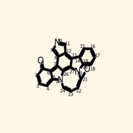 O=c1cccc2c1c1c3cncc3c3c4ccc5cc4n4c(cccn2c1c34)o5